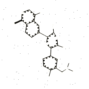 Cc1c[nH]c(=O)c2ccc(-c3nc(-c4ccc(O)c(CN(C)C)c4)c(F)nc3N)cc12